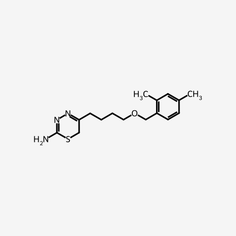 Cc1ccc(COCCCCC2=NN=C(N)SC2)c(C)c1